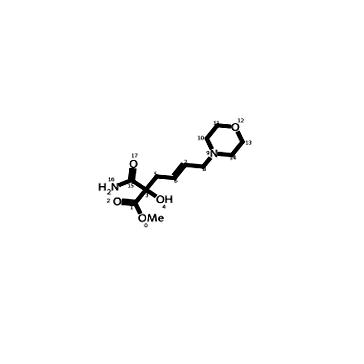 COC(=O)C(O)(C/C=C/CN1CCOCC1)C(N)=O